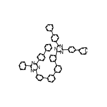 c1ccc(-c2ccc(-c3nc(-c4ccccc4)nc(-c4cccc(-c5cccc(-c6cccc(-c7cccc(-c8nc(-c9ccc(-c%10ccccc%10)cc9)nc(-c9ccc(-c%10ccccc%10)cc9)n8)c7)c6)c5)c4)n3)cc2)cc1